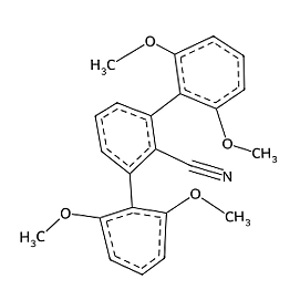 COc1cccc(OC)c1-c1cccc(-c2c(OC)cccc2OC)c1C#N